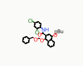 CCCCOc1cc(C(=O)Nc2ccc(Cl)cc2Cl)c(OCOCc2ccccc2)c2ccccc12